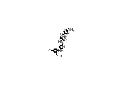 Nc1ncc(C(=O)NC2(C(=O)NCc3ccc(Nc4ccc(Cl)cc4C(F)(F)F)cn3)CC2)cn1